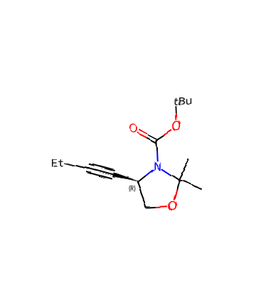 CCC#C[C@@H]1COC(C)(C)N1C(=O)OC(C)(C)C